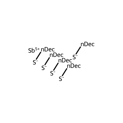 CCCCCCCCCC[S-].CCCCCCCCCC[S-].CCCCCCCCCC[S-].CCCCCCCCCC[S-].CCCCCCCCCC[S-].[Sb+5]